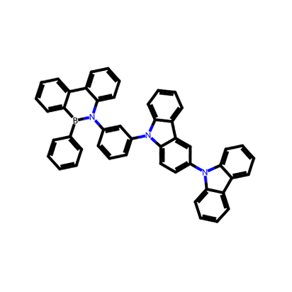 c1ccc(B2c3ccccc3-c3ccccc3N2c2cccc(-n3c4ccccc4c4cc(-n5c6ccccc6c6ccccc65)ccc43)c2)cc1